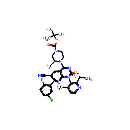 Cc1ccnc(C(C)C)c1-n1c(=O)nc(N2CCN(C(=O)OC(C)(C)C)C[C@@H]2C)c2cc(C#N)c(-c3cc(F)ccc3F)nc21